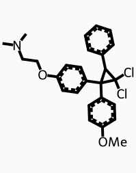 COc1ccc(C2(c3ccc(OCCN(C)C)cc3)C(c3ccccc3)C2(Cl)Cl)cc1